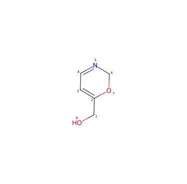 OCC1=CC=NCO1